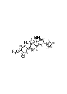 NCC(N)(c1ccc(-n2ccnc2)cc1)c1cc(-c2ccc(C(F)(F)F)c(Cl)c2)ncn1